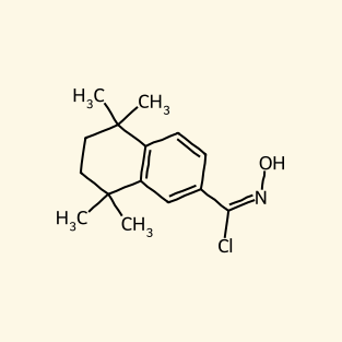 CC1(C)CCC(C)(C)c2cc(/C(Cl)=N\O)ccc21